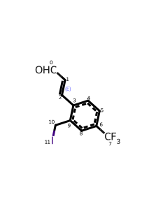 O=C/C=C/c1ccc(C(F)(F)F)cc1CI